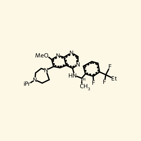 CCC(F)(F)c1cccc([C@@H](C)Nc2ncnc3nc(OC)c(N4CCN(C(C)C)CC4)cc23)c1F